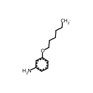 [CH2]CCCCCOc1cccc(N)c1